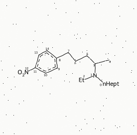 CCCCCCCN(CC)C(C)CCCc1ccc([N+](=O)[O-])cc1